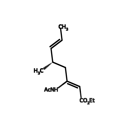 C/C=C/[C@@H](C)C/C(=C/C(=O)OCC)NC(C)=O